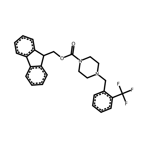 O=C(OCC1c2ccccc2-c2ccccc21)N1CCN(Cc2ccccc2C(F)(F)F)CC1